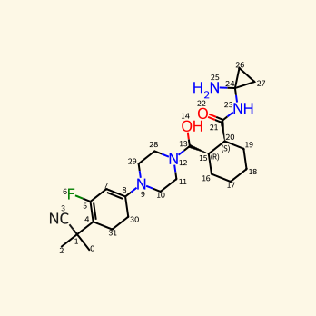 CC(C)(C#N)C1=C(F)C=C(N2CCN(C(O)[C@@H]3CCCC[C@@H]3C(=O)NC3(N)CC3)CC2)CC1